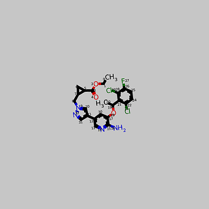 CCOC(=O)C1CC1Cn1cc(-c2cnc(N)c(OC(C)c3c(Cl)ccc(F)c3Cl)c2)cn1